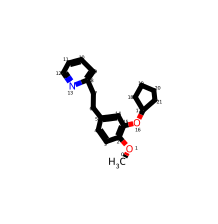 COc1ccc(CCc2ccccn2)cc1OC1CCCC1